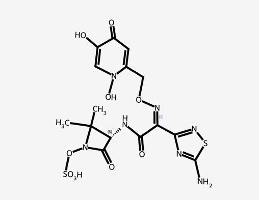 CC1(C)[C@H](NC(=O)/C(=N\OCc2cc(=O)c(O)cn2O)c2nsc(N)n2)C(=O)N1OS(=O)(=O)O